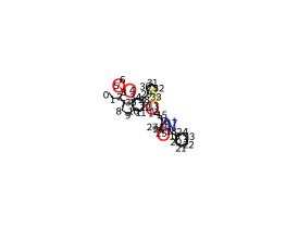 CCC(C(=O)OC)C1CCc2cc(OCCc3nc(-c4ccccc4)oc3C)c(-c3cccs3)cc21